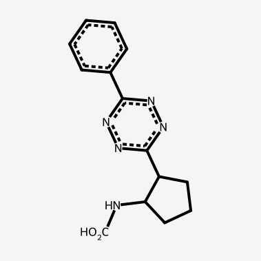 O=C(O)NC1CCCC1c1nnc(-c2ccccc2)nn1